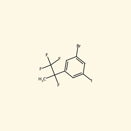 CC(F)(c1cc(Br)[c]c(I)c1)C(F)(F)F